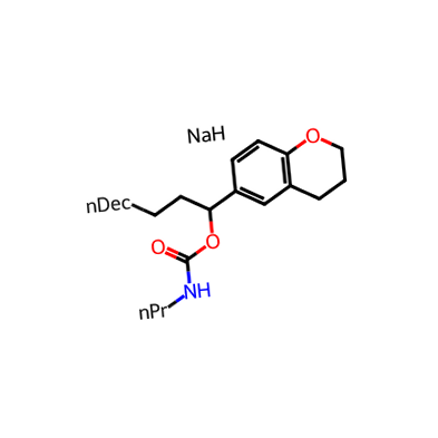 CCCCCCCCCCCCC(OC(=O)NCCC)c1ccc2c(c1)CCCO2.[NaH]